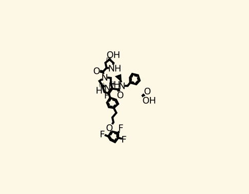 O=C(C1C[C@@H](O)CN1)N1C[C@H]2CC(c3ccc(CCCOc4c(F)ccc(F)c4F)cc3)=C(C(=O)N(Cc3ccccc3)C3CC3)[C@@H](C1)N2.O=CO